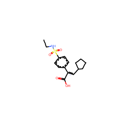 CCNS(=O)(=O)c1ccc(/C(=C\C2CCCC2)C(=O)O)cc1